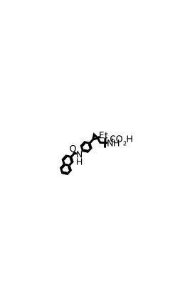 CCC1(CC(C)(C)NC(=O)O)CC1c1ccc(NC(=O)c2ccc3ccccc3c2)cc1